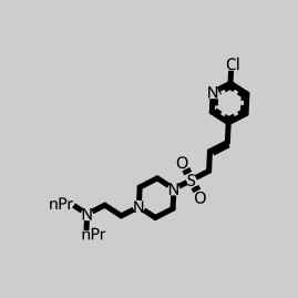 CCCN(CCC)CCN1CCN(S(=O)(=O)CC=Cc2ccc(Cl)nc2)CC1